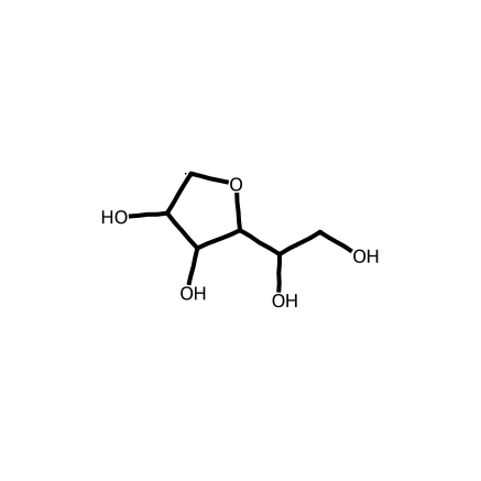 OCC(O)C1O[CH]C(O)C1O